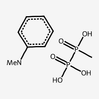 CNc1ccccc1.CP(=O)(O)P(=O)(O)O